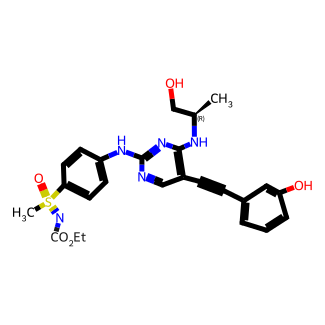 CCOC(=O)N=S(C)(=O)c1ccc(Nc2ncc(C#Cc3cccc(O)c3)c(N[C@H](C)CO)n2)cc1